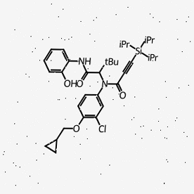 CC(C)[Si](C#CC(=O)N(c1ccc(OCC2CC2)c(Cl)c1)C(C(=O)Nc1ccccc1O)C(C)(C)C)(C(C)C)C(C)C